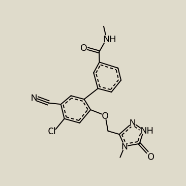 CNC(=O)c1cccc(-c2cc(C#N)c(Cl)cc2OCc2n[nH]c(=O)n2C)c1